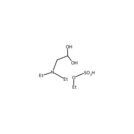 CCN(CC)CC(O)O.CCOS(=O)(=O)O